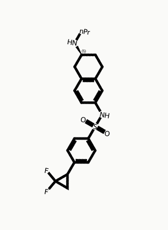 CCCN[C@H]1CCc2cc(NS(=O)(=O)c3ccc(C4CC4(F)F)cc3)ccc2C1